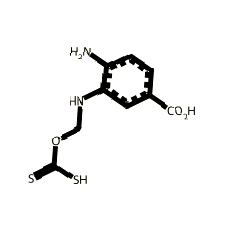 Nc1ccc(C(=O)O)cc1NCOC(=S)S